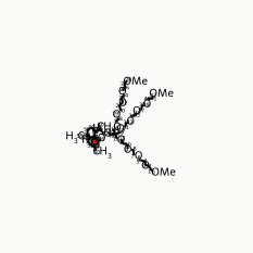 COCCOCCOCCOCCOCC(COCCOCCOCCOCCOC)(COCCOCCOCCOCCOC)COC1O[C@H]2OC3(C)CC[C@H]4[C@H](C)CC[C@@H]([C@H]1C)[C@@]24OO3